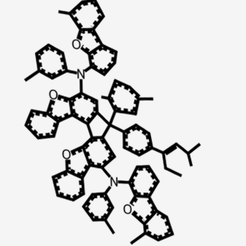 CC/C(=C\C(C)C)c1ccc(C2(c3cc(C)ccc3C)c3cc(N(c4cccc(C)c4)c4cccc5c4oc4c(C)cccc45)c4c(oc5ccccc54)c3-c3c2cc(N(c2cccc(C)c2)c2cccc4c2oc2c(C)cccc24)c2oc4ccccc4c32)cc1